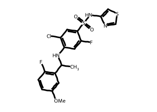 COc1ccc(F)c(C(C)Nc2cc(F)c(S(=O)(=O)Nc3cscn3)cc2Cl)c1